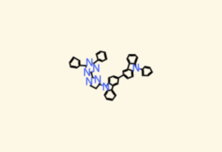 c1ccc(-c2nc(C3=NCCC(n4c5ccccc5c5cc(-c6ccc7c(c6)c6ccccc6n7-c6ccccc6)ccc54)=N3)nc(-c3ccccc3)n2)cc1